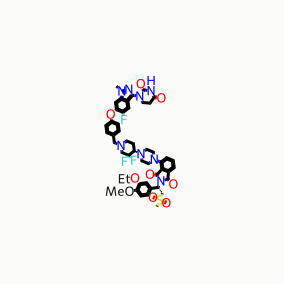 CCOc1cc([C@@H](CS(C)(=O)=O)N2C(=O)c3cccc(N4CCN([C@@H]5CCN(Cc6ccc(Oc7cc8c(cc7F)c(N7CCC(=O)NC7=O)nn8C)cc6)CC5(F)F)CC4)c3C2=O)ccc1OC